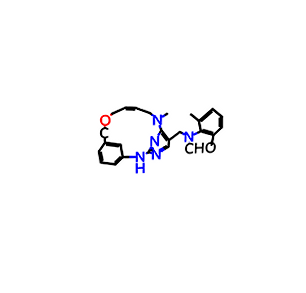 Cc1cccc(C)c1N(C=O)Cc1cnc2nc1N(C)C/C=C\COCc1cccc(c1)N2